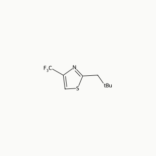 CC(C)(C)Cc1nc(C(F)(F)F)cs1